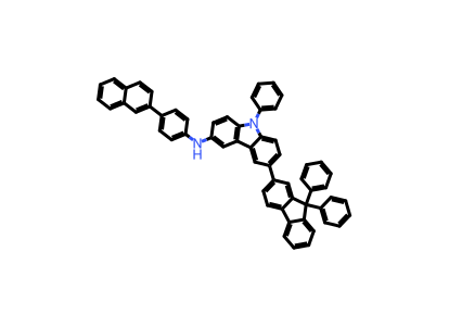 c1ccc(-n2c3ccc(Nc4ccc(-c5ccc6ccccc6c5)cc4)cc3c3cc(-c4ccc5c(c4)C(c4ccccc4)(c4ccccc4)c4ccccc4-5)ccc32)cc1